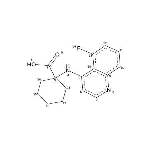 O=C(O)C1(Nc2ccnc3cccc(F)c23)CCCCC1